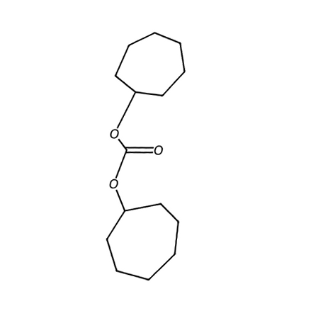 O=C(OC1CCCCCC1)OC1CCCCCC1